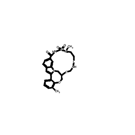 Cc1cccc2c1OCC1CCNCCCN(C)S(=O)(=O)NC(=O)c3ccc4cc-2n(c4c3)C1